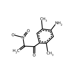 C=C(C(=O)c1cc(C)c(N)cc1C)[N+](=O)[O-]